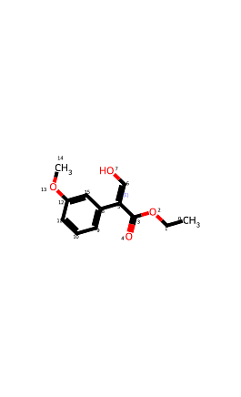 CCOC(=O)/C(=C/O)c1cccc(OC)c1